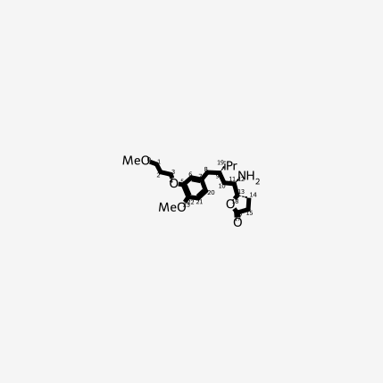 COCCCOc1cc(C[C@@H](C[C@H](N)[C@@H]2CCC(=O)O2)C(C)C)ccc1OC